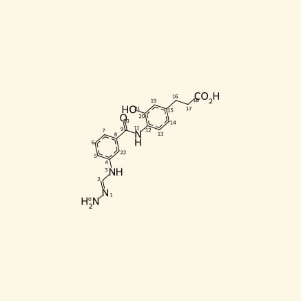 NN=CNc1cccc(C(=O)Nc2ccc(CCC(=O)O)cc2O)c1